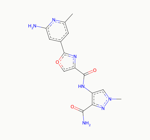 Cc1cc(-c2nc(C(=O)Nc3cn(C)nc3C(N)=O)co2)cc(N)n1